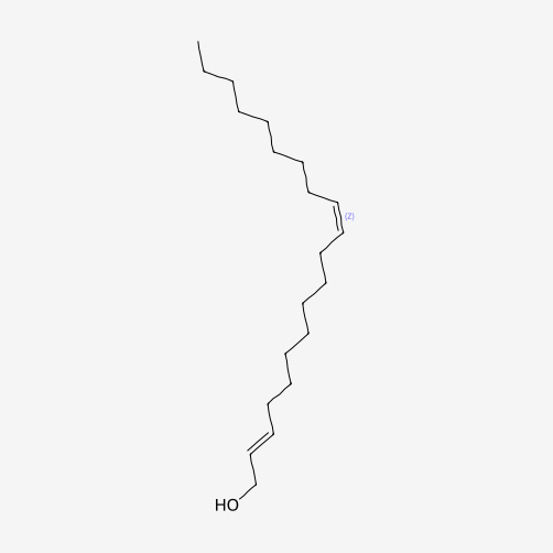 CCCCCCCC/C=C\CCCCCCCC=CCO